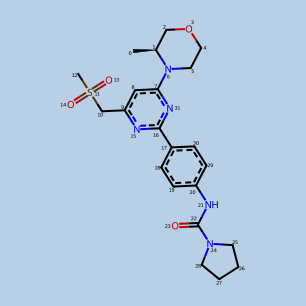 C[C@H]1COCCN1c1cc(CS(C)(=O)=O)nc(-c2ccc(NC(=O)N3CCCC3)cc2)n1